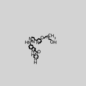 CN(CCO)CCOc1ccnc(-c2ccnc(Nc3ccc4[nH]c(C(=O)N5CCNCC5)cc4c3)n2)c1